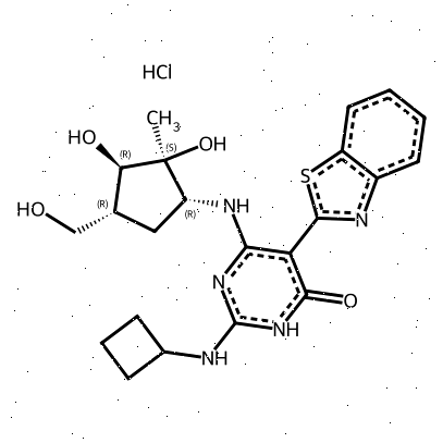 C[C@@]1(O)[C@H](O)[C@@H](CO)C[C@H]1Nc1nc(NC2CCC2)[nH]c(=O)c1-c1nc2ccccc2s1.Cl